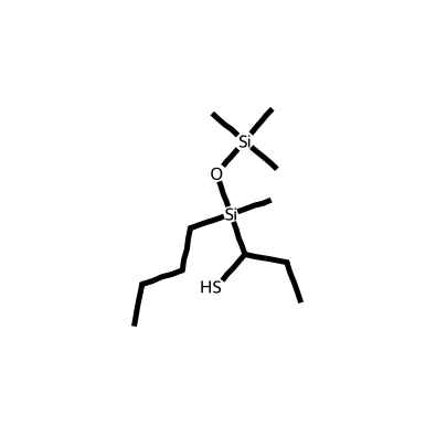 CCCC[Si](C)(O[Si](C)(C)C)C(S)CC